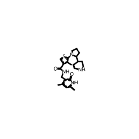 Cc1cc(C)c(CNC(=O)c2csc(N3CCCC3C3CCNCC3)c2C)c(=O)[nH]1